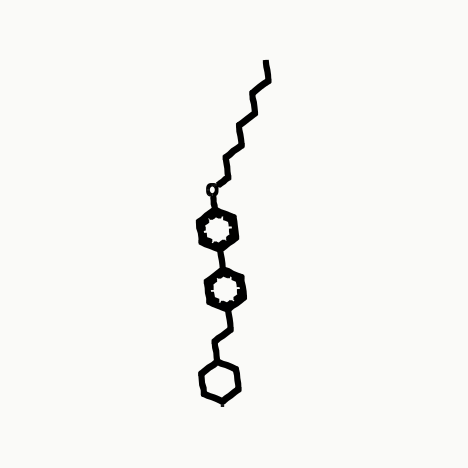 CCCCCCCCOc1ccc(-c2ccc(CCC3CC[CH]CC3)cc2)cc1